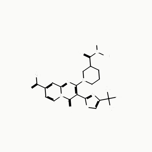 CN(C)C(=O)C1CCCN(c2nc3cc(C(N)=O)ccn3c(=O)c2-c2nc(C(C)(C)C)cs2)C1